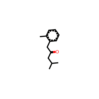 Cc1ccccc1CC(=O)CC(C)C